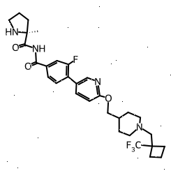 C[C@@]1(C(=O)NC(=O)c2ccc(-c3ccc(OCC4CCN(CC5(C(F)(F)F)CCC5)CC4)nc3)c(F)c2)CCCN1